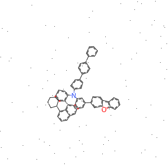 c1ccc(-c2ccc(-c3ccc(N(c4cccc(-c5ccc6c(c5)oc5ccccc56)c4)c4ccccc4-c4cccc5cccc(C6CCCCC6)c45)cc3)cc2)cc1